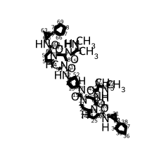 CN[C@@H](C)C(=O)NC1CN(C(=O)Nc2ccc(NC(=O)N3CC[C@H]4CC[C@@H](C(=O)N[C@@H]5C[C@@H]5c5ccccc5)N4C(=O)[C@@H](NC(=O)[C@H](C)NC)C3)cc2)CC[C@H]2CC[C@@H](C(=O)N[C@@H]3C[C@@H]3c3ccccc3)N2C1=O